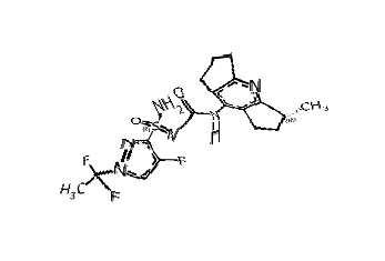 C[C@@H]1CCc2c1nc1c(c2NC(=O)N=[S@@](N)(=O)c2nn(C(C)(F)F)cc2F)CCC1